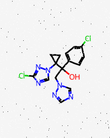 OC(Cn1cncn1)(c1ccc(Cl)cc1)C1(n2cnc(Cl)n2)CC1